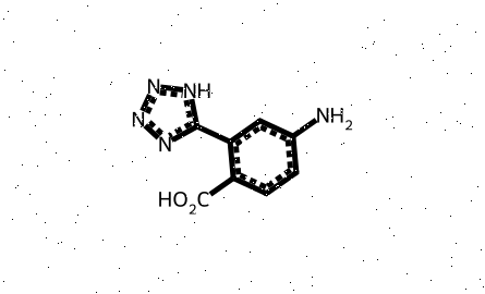 Nc1ccc(C(=O)O)c(-c2nnn[nH]2)c1